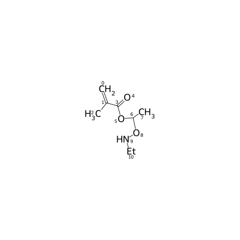 C=C(C)C(=O)OC(C)ONCC